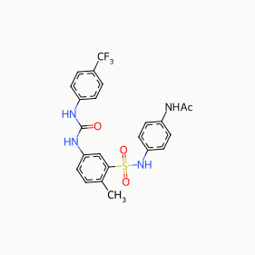 CC(=O)Nc1ccc(NS(=O)(=O)c2cc(NC(=O)Nc3ccc(C(F)(F)F)cc3)ccc2C)cc1